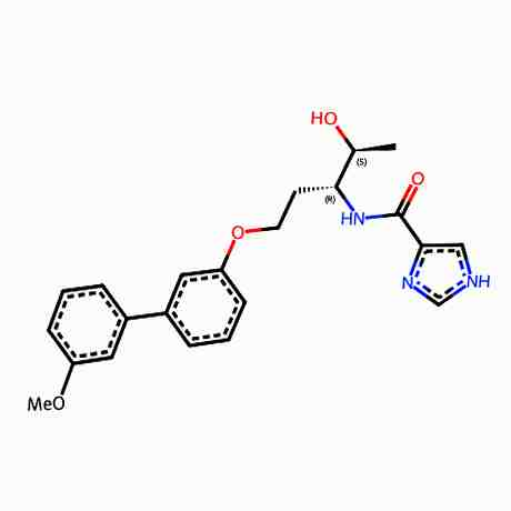 COc1cccc(-c2cccc(OCC[C@@H](NC(=O)c3c[nH]cn3)[C@H](C)O)c2)c1